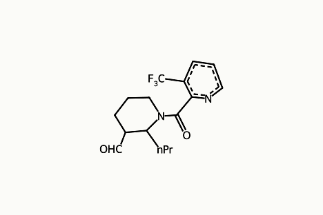 CCCC1C(C=O)CCCN1C(=O)c1ncccc1C(F)(F)F